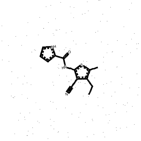 CCc1c(C)sc(NC(=O)c2ccc[nH]2)c1C#N